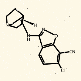 N#Cc1c(Cl)ccc2c(N[C@@H]3CN4CCC3CC4)noc12